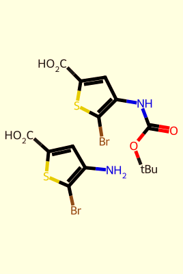 CC(C)(C)OC(=O)Nc1cc(C(=O)O)sc1Br.Nc1cc(C(=O)O)sc1Br